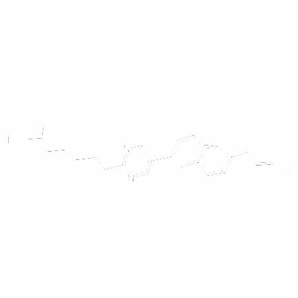 C=CCc1ccc2cc(-c3cnc(/C=C/CCCC(C)F)nc3)ccc2c1